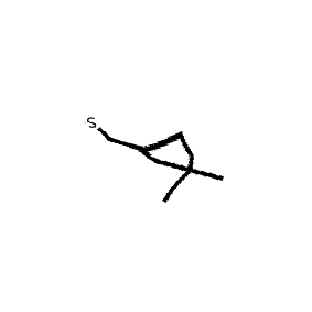 CC1(C)CC1C[S]